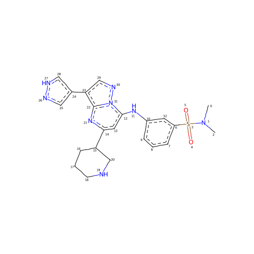 CN(C)S(=O)(=O)c1cccc(Nc2cc(C3CCCNC3)nc3c(-c4cn[nH]c4)cnn23)c1